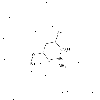 CCC(C)OC(CC(C(C)=O)C(=O)O)OC(C)CC.[AlH3]